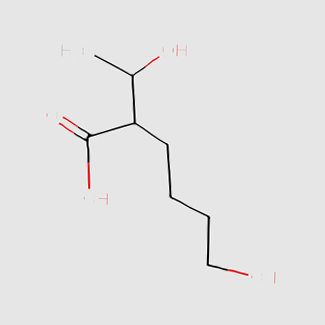 CC(O)C(CCCCO)C(=O)O